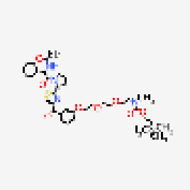 C[CH]C(=O)N[C@H](C(=O)N1CCC[C@H]1c1nc(C(=O)c2cccc(OCCOCCOCCN(C)C(=O)OCC[Si](C)(C)C)c2)cs1)C1CCCCC1